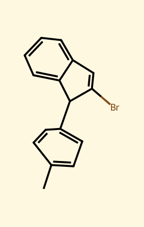 Cc1ccc(C2C(Br)=Cc3ccccc32)cc1